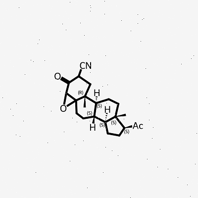 CC(=O)[C@H]1CC[C@H]2[C@@H]3CCC45OC4C(=O)C(C#N)C[C@]5(C)[C@H]3CC[C@]12C